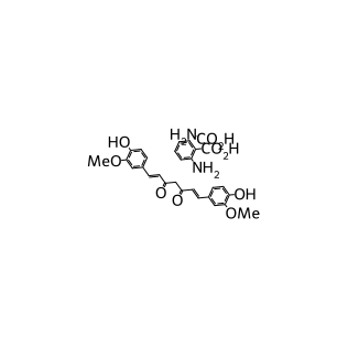 COc1cc(C=CC(=O)CC(=O)C=Cc2ccc(O)c(OC)c2)ccc1O.NC(=O)O.Nc1ccccc1C(=O)O